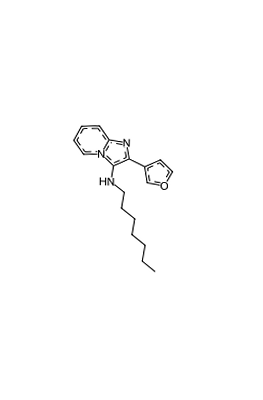 CCCCCCCNc1c(-c2ccoc2)nc2ccccn12